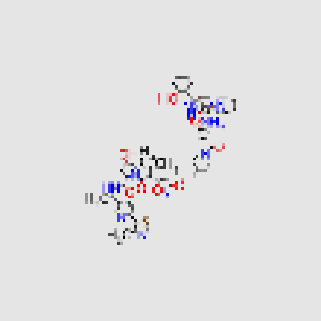 Cc1ncsc1-c1ccc([C@H](C)NC(=O)[C@@H]2C[C@@H](O)CN2C(=O)[C@H](c2cc(OCCC3CCN(C(=O)[C@H]4C[C@H](Oc5cc(N6C7CCC6CN(c6cc(-c8ccccc8O)nnc6N)C7)ccn5)C4)CC3)no2)C(C)C)cn1